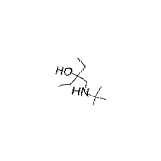 CCC(O)(CC)CNC(C)(C)C